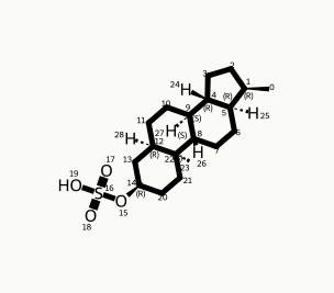 C[C@@H]1CC[C@@H]2[C@@H]1CC[C@H]1[C@H]2CC[C@@H]2C[C@H](OS(=O)(=O)O)CC[C@@]21C